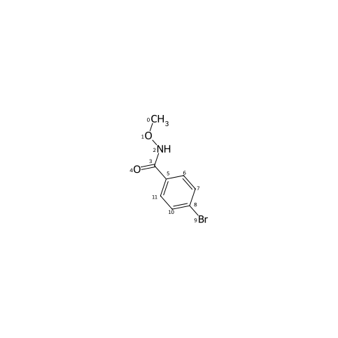 CONC(=O)c1ccc(Br)cc1